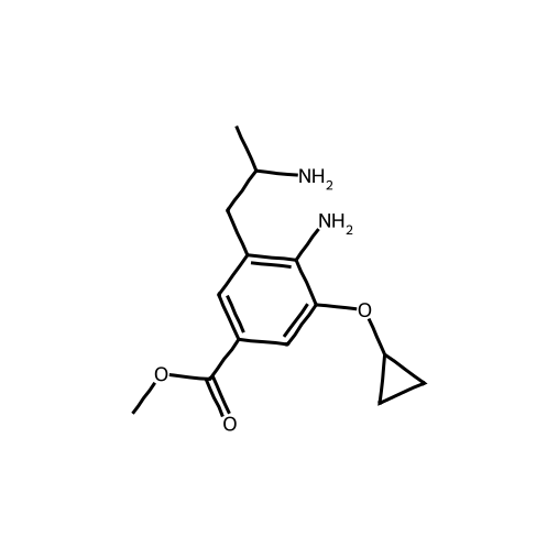 COC(=O)c1cc(CC(C)N)c(N)c(OC2CC2)c1